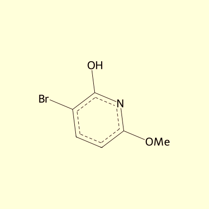 COc1ccc(Br)c(O)n1